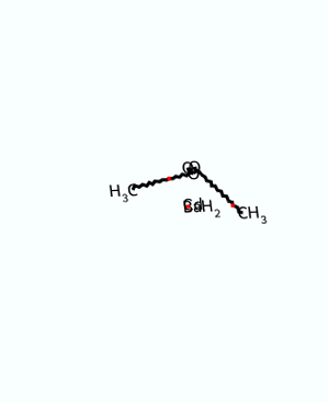 CCCCCCCCCCCCCCCCCC(=O)OC(=O)CCCCCCCCCCCCCCCCC.[BaH2].[Cd]